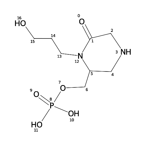 O=C1CNCC(COP(=O)(O)O)N1CCCO